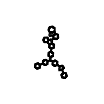 C1=CC2=CC(C=C1)c1cccc(-n3c4ccccc4c4cc(-c5ccc(N(c6ccc(-c7ccccc7)cc6)c6ccc(-c7ccc(-c8ccccc8)s7)cc6)cc5)ccc43)c1O2